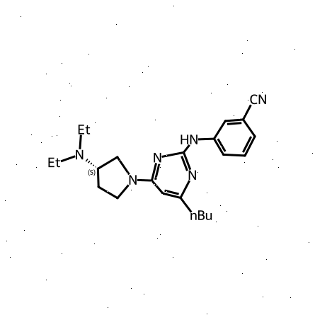 CCCCc1cc(N2CC[C@H](N(CC)CC)C2)nc(Nc2cccc(C#N)c2)n1